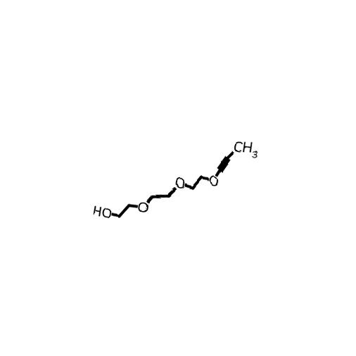 CC#COCCOCCOCCO